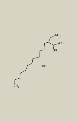 Br.CCCCCCCCCCCCC(CN)C(O)O